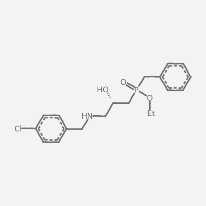 CCOP(=O)(Cc1ccccc1)C[C@@H](O)CNCc1ccc(Cl)cc1